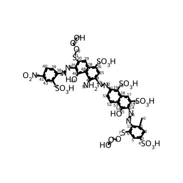 Cc1cc(S(=O)(=O)O)cc(SOOO)c1N=Nc1c(S(=O)(=O)O)cc2c(S(=O)(=O)O)c(N=Nc3cc(S(=O)(=O)O)c4cc(SOOO)c(N=Nc5ccc([N+](=O)[O-])cc5S(=O)(=O)O)c(O)c4c3N)ccc2c1O